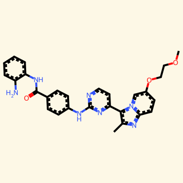 COCCOc1ccc2nc(C)c(-c3ccnc(Nc4ccc(C(=O)Nc5ccccc5N)cc4)n3)n2c1